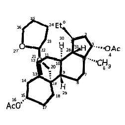 CC[C@H]1C[C@H](OC(C)=O)[C@@]2(C)CC[C@H]3[C@@H](CC=C4C[C@@H](OC(C)=O)CC[C@@]43COC3CCCCO3)[C@H]12